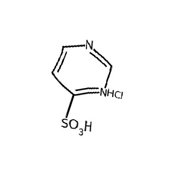 Cl.O=S(=O)(O)c1ccncn1